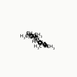 Cc1cc(Nc2ncc(C)c(-c3ccc(N(C)C)nc3)n2)ccc1N1CC2CC1CN2C